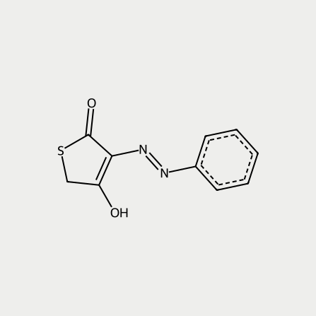 O=C1SCC(O)=C1N=Nc1ccccc1